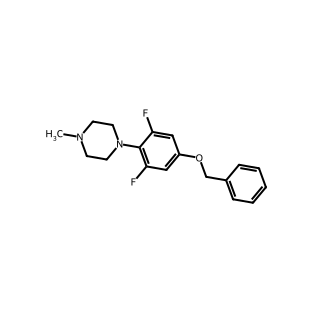 CN1CCN(c2c(F)cc(OCc3ccccc3)cc2F)CC1